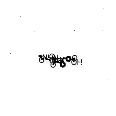 C=CC(=O)NCCCN1C(=O)C2CN(Cc3c2c2ccccc2n3Cc2ccc(C(=O)O)cc2)C1=O